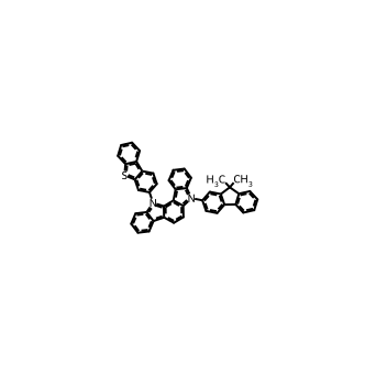 CC1(C)c2ccccc2-c2ccc(-n3c4ccccc4c4c3ccc3c5ccccc5n(-c5ccc6c(c5)sc5ccccc56)c34)cc21